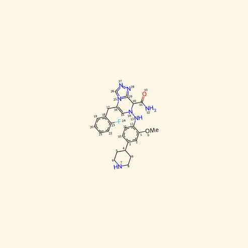 COc1cc(C2CCNCC2)ccc1NN1C=C(Cc2ccccc2F)n2cnnc2C1C(N)=O